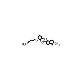 CC#CCCCOc1cccc(NC(=O)c2ccc3nc(C)ccc3c2)c1F